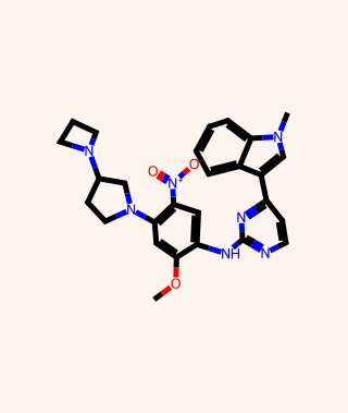 COc1cc(N2CCC(N3CCC3)C2)c([N+](=O)[O-])cc1Nc1nccc(-c2cn(C)c3ccccc23)n1